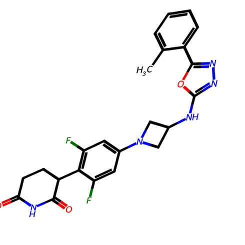 Cc1ccccc1-c1nnc(NC2CN(c3cc(F)c(C4CCC(=O)NC4=O)c(F)c3)C2)o1